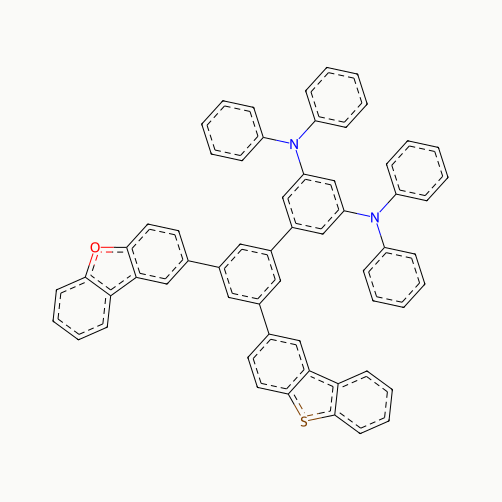 c1ccc(N(c2ccccc2)c2cc(-c3cc(-c4ccc5oc6ccccc6c5c4)cc(-c4ccc5sc6ccccc6c5c4)c3)cc(N(c3ccccc3)c3ccccc3)c2)cc1